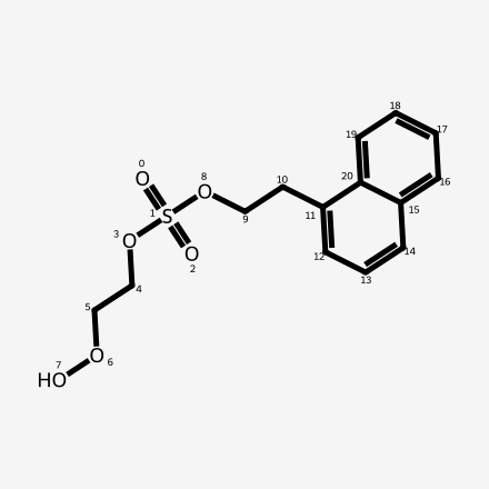 O=S(=O)(OCCOO)OCCc1cccc2ccccc12